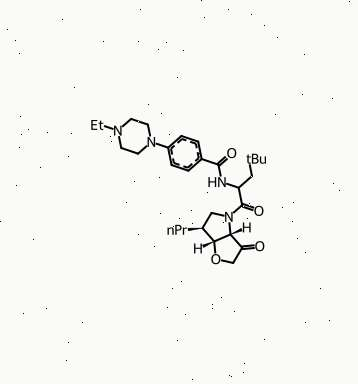 CCC[C@H]1CN(C(=O)C(CC(C)(C)C)NC(=O)c2ccc(N3CCN(CC)CC3)cc2)[C@@H]2C(=O)CO[C@H]12